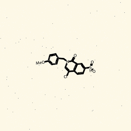 COc1ccc(Cn2cc(Cl)c3ccc([SH](=O)=O)cc3c2=O)cc1